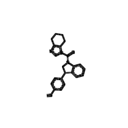 O=C(N1CC(c2ccc(O)cc2)c2ccccc21)n1cnc2c1CCCC2